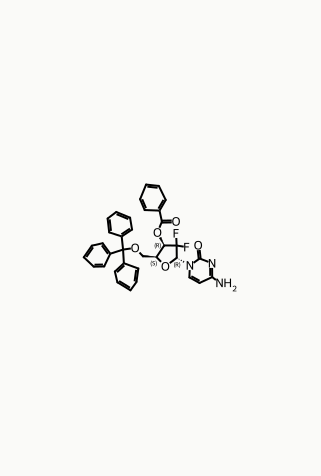 Nc1ccn([C@@H]2O[C@@H](COC(c3ccccc3)(c3ccccc3)c3ccccc3)[C@@H](OC(=O)c3ccccc3)C2(F)F)c(=O)n1